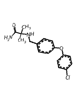 CC(C)(NCc1ccc(Oc2ccc(Cl)cc2)cc1)C(N)=O